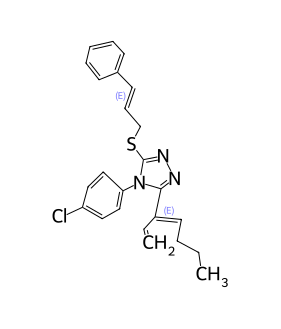 C=C/C(=C\CCC)c1nnc(SC/C=C/c2ccccc2)n1-c1ccc(Cl)cc1